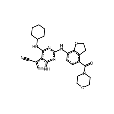 N#Cc1c[nH]c2nc(Nc3ccc(C(=O)N4CCOCC4)c4c3OCC4)nc(NC3CCCCC3)c12